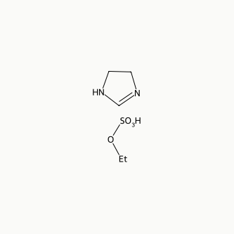 C1=NCCN1.CCOS(=O)(=O)O